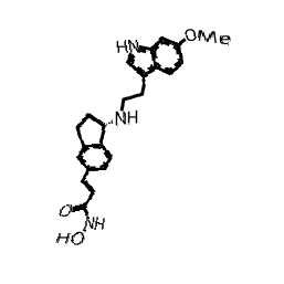 COc1ccc2c(CCN[C@H]3CCc4cc(/C=C/C(=O)NO)ccc43)c[nH]c2c1